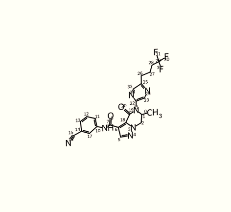 CC1Cn2ncc(C(=O)Nc3cccc(C#N)c3)c2C(=O)N1c1cnc(CCCC(F)(F)F)cn1